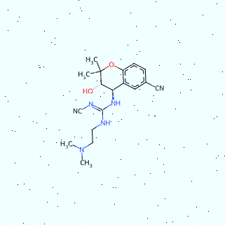 CN(C)CCNC(=NC#N)N[C@@H]1c2cc(C#N)ccc2OC(C)(C)[C@H]1O